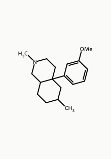 COc1cccc(C23CCN(C)CC2CCC(C)C3)c1